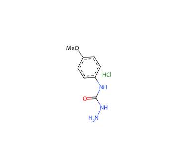 COc1ccc(NC(=O)NN)cc1.Cl